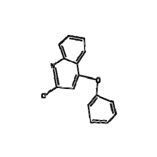 Clc1cc(Oc2ccccc2)c2ccccc2n1